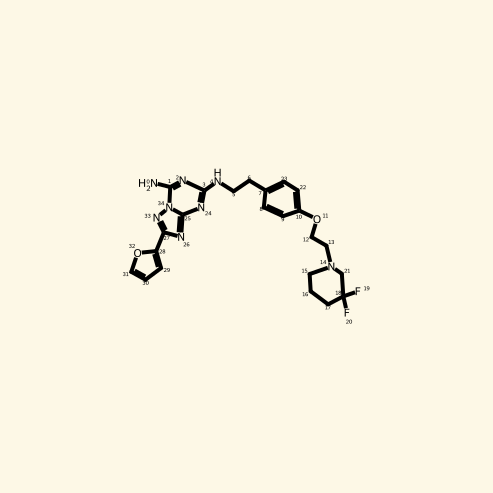 Nc1nc(NCCc2ccc(OCCN3CCCC(F)(F)C3)cc2)nc2nc(-c3ccco3)nn12